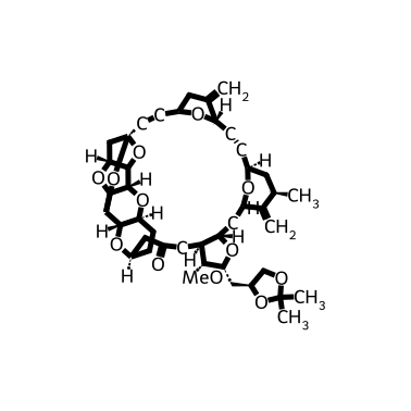 C=C1CC2CC[C@@]34C[C@H]5OC6C(O3)[C@H]3O[C@H](CC[C@@H]3O[C@H]6C5O4)CC(=O)C[C@@H]3[C@@H](OC)[C@@H](C[C@H]4COC(C)(C)O4)O[C@H]3C[C@H]3O[C@@H](CC[C@@H]1O2)C[C@@H](C)C3=C